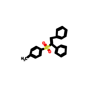 Cc1ccc(S(=O)(=O)C(=Cc2ccccc2)c2ccccc2)cc1